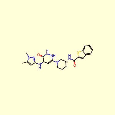 Cc1cc(NC2C=C(N3CCC[C@@H](NC(=O)c4cc5ccccc5s4)C3)NNC2=O)nn1C